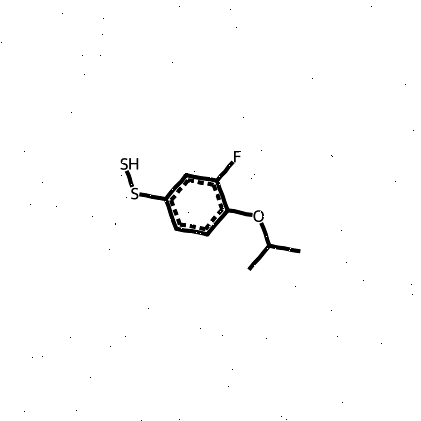 CC(C)Oc1ccc(SS)cc1F